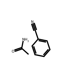 CC(N)=O.N#Cc1ccccc1